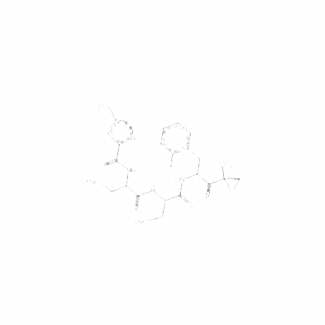 COCC(NC(=O)c1cc(C)on1)C(=O)NC(COC)C(=O)NC(Cc1ccccc1F)C(=O)C1(C)CO1